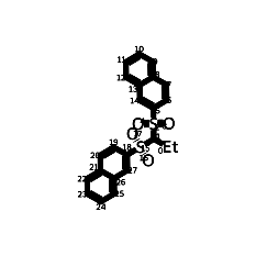 CCC(S(=O)(=O)c1ccc2ccccc2c1)S(=O)(=O)c1ccc2ccccc2c1